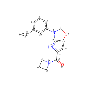 O=C(O)c1cccc(N2COc3cc(C(=O)N4CCC4)[nH]c32)c1